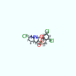 O=c1[nH]c2cc(Cl)ccc2cc1S(=O)(=O)/C=C\c1ccc(Cl)cc1Cl